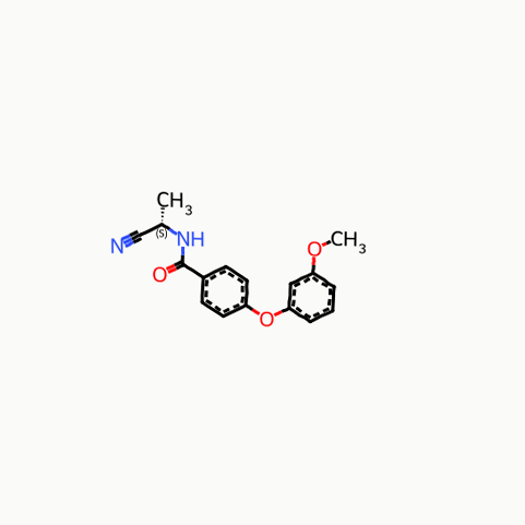 COc1cccc(Oc2ccc(C(=O)N[C@@H](C)C#N)cc2)c1